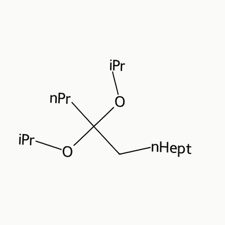 CCCCCCCCC(CCC)(OC(C)C)OC(C)C